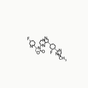 Cn1cnc(-c2ccc(-c3cnn4ccc(N5C(=O)OCC5c5ccc(F)cn5)nc34)cc2F)n1